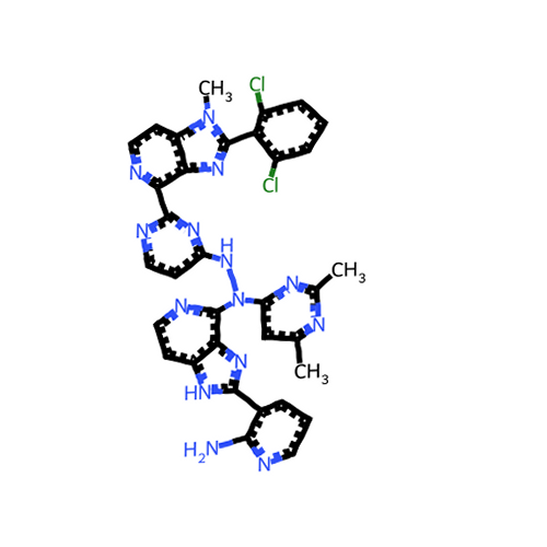 Cc1cc(N(Nc2ccnc(-c3nccc4c3nc(-c3c(Cl)cccc3Cl)n4C)n2)c2nccc3[nH]c(-c4cccnc4N)nc23)nc(C)n1